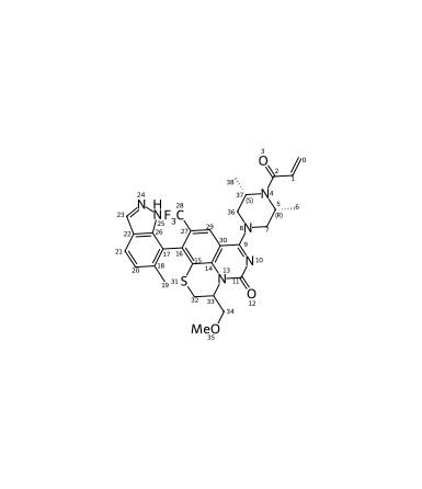 C=CC(=O)N1[C@H](C)CN(c2nc(=O)n3c4c(c(-c5c(C)ccc6cn[nH]c56)c(C(F)(F)F)cc24)SCC3COC)C[C@@H]1C